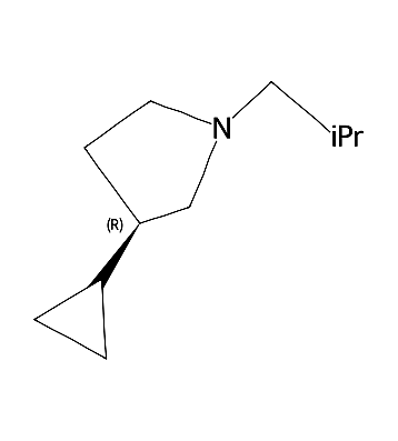 CC(C)CN1CC[C@H](C2CC2)C1